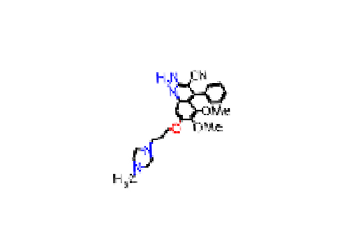 COc1c(OCCCN2CCN(C)CC2)cc2nc(N)c(C#N)c(-c3ccccc3)c2c1OC